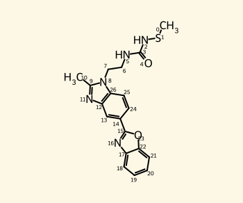 CSNC(=O)NCCn1c(C)nc2cc(-c3nc4ccccc4o3)ccc21